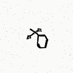 CC[N+](C)(CC)c1ccccc1